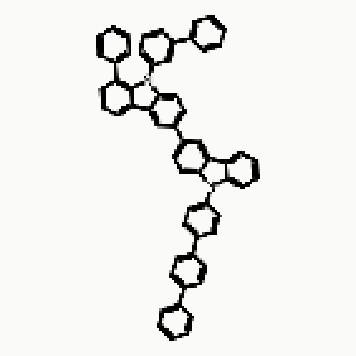 c1ccc(-c2ccc(-c3ccc(-n4c5ccccc5c5cc(-c6ccc7c(c6)c6cccc(-c8ccccc8)c6n7-c6cccc(-c7ccccc7)c6)ccc54)cc3)cc2)cc1